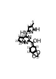 Cc1cc(Nc2nc(C(O)c3ccc4c(c3)OCO4)nn3cccc23)n[nH]1